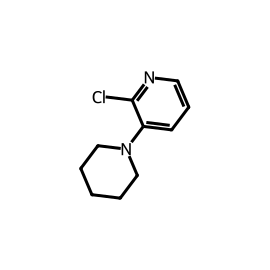 Clc1ncccc1N1CCCCC1